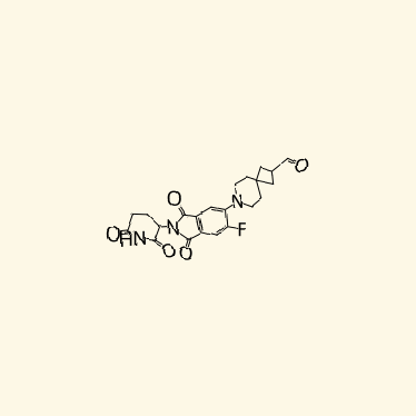 O=CC1CC2(CCN(c3cc4c(cc3F)C(=O)N(C3CCC(=O)NC3=O)C4=O)CC2)C1